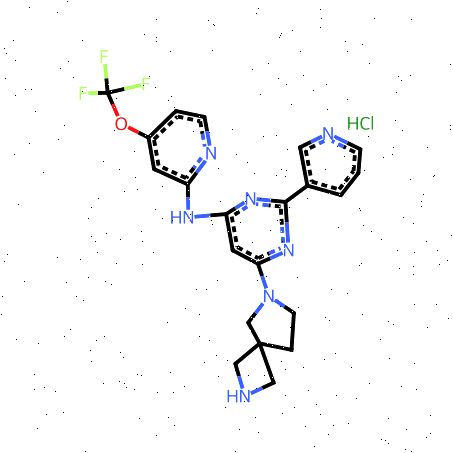 Cl.FC(F)(F)Oc1ccnc(Nc2cc(N3CCC4(CNC4)C3)nc(-c3cccnc3)n2)c1